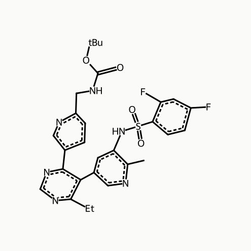 CCc1ncnc(-c2ccc(CNC(=O)OC(C)(C)C)nc2)c1-c1cnc(C)c(NS(=O)(=O)c2ccc(F)cc2F)c1